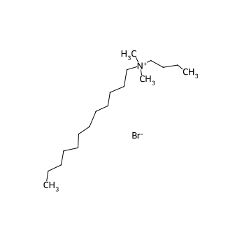 CCCCCCCCCCCC[N+](C)(C)CCCC.[Br-]